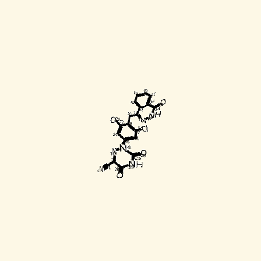 N#Cc1nn(-c2cc(Cl)c(Cc3n[nH]c(=O)c4ccccc34)c(Cl)c2)c(=O)[nH]c1=O